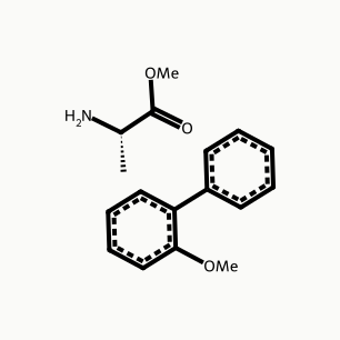 COC(=O)[C@H](C)N.COc1ccccc1-c1ccccc1